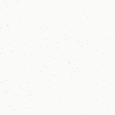 C=Cc1cnc2ccc(CCl)cc2c1